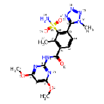 COc1cc(OC)nc(NC(=O)c2ccc(-c3nnnn3C)c(S(N)(=O)=O)c2C)n1